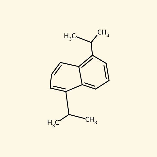 CC(C)c1cccc2c(C(C)C)cccc12